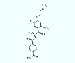 COCCOc1cc(N)c(C(=N)/C(O)=C/C(=N)c2ccc(C(=O)O)nc2)cc1F